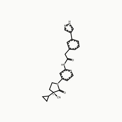 N#C[C@@]1(C2CC2)CCN(c2ccnc(NC(=O)Cc3cccc(-c4cn[nH]c4)c3)c2)C1=O